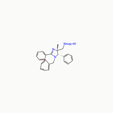 C[C@]1(CN=[N+]=[N-])N=C(c2ccccc2)N(Cc2ccccc2)[C@H]1c1ccccc1